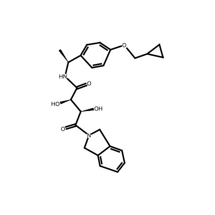 C[C@H](NC(=O)[C@H](O)[C@@H](O)C(=O)N1Cc2ccccc2C1)c1ccc(OCC2CC2)cc1